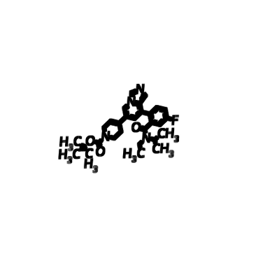 CCN(C(=O)c1cc(F)ccc1-c1cc(C2=CCN(C(=O)OC(C)(C)C)CC2)cn2cncc12)C(C)C